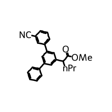 CCCC(C(=O)OC)c1cc(-c2ccccc2)cc(-c2cccc(C#N)c2)c1